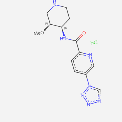 CO[C@H]1CNCC[C@H]1NC(=O)c1ccc(-n2cnnn2)cn1.Cl